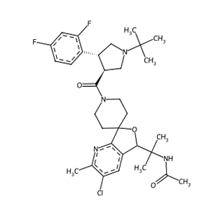 CC(=O)NC(C)(C)C1OC2(CCN(C(=O)[C@@H]3CN(C(C)(C)C)C[C@H]3c3ccc(F)cc3F)CC2)c2nc(C)c(Cl)cc21